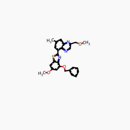 COCc1cnc2c(-c3nc4c(OCc5ccccc5)cc(OC)cc4s3)cc(C)cc2n1